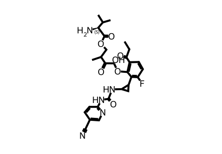 CCC(=O)c1ccc(F)c(C2CC2NC(=O)Nc2ccc(C#N)cn2)c1OC(O)C(=O)C(C)COC(=O)[C@@H](N)C(C)C